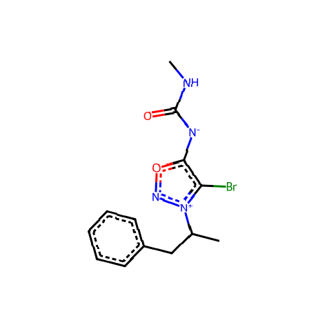 CNC(=O)[N-]c1on[n+](C(C)Cc2ccccc2)c1Br